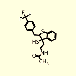 CC(=O)NCCC1(S)c2ccccc2SC1Cc1ccc(C(F)(F)F)cc1